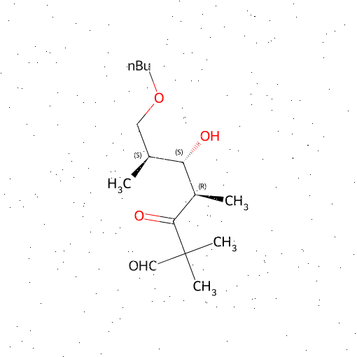 CCCCOC[C@H](C)[C@H](O)[C@@H](C)C(=O)C(C)(C)C=O